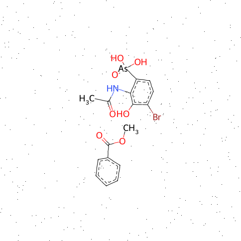 CC(=O)Nc1c([As](=O)(O)O)ccc(Br)c1O.COC(=O)c1ccccc1